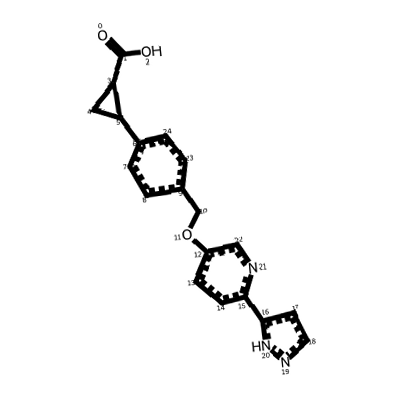 O=C(O)C1CC1c1ccc(COc2ccc(-c3ccn[nH]3)nc2)cc1